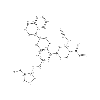 C=CC(=O)N1CCN(c2nc(OC[C@@H]3CCCN3CC)nc3c2CCC(N2CCOc4ccccc42)C3)C[C@@H]1CC#N